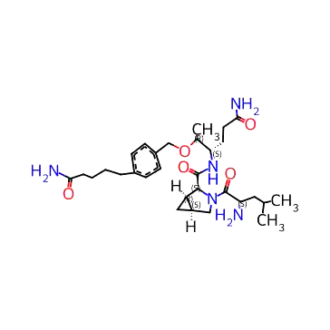 CC(C)C[C@H](N)C(=O)N1C[C@H]2C[C@H]2[C@H]1C(=O)N[C@@H](CCC(N)=O)[C@@H](C)OCc1ccc(CCCCC(N)=O)cc1